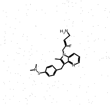 Cc1c(Cc2ccc(SN(C)C)cc2)c2ncccc2n1C/C(F)=C/CN